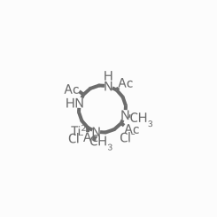 CC(=O)C1CCNC(C(C)=O)CCN(C)C(C(C)=O)CCN(C)[C]([Ti+2])(C(C)=O)CCN1.[Cl-].[Cl-]